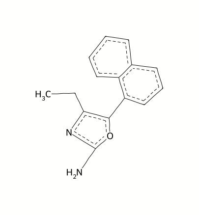 CCc1nc(N)oc1-c1cccc2ccccc12